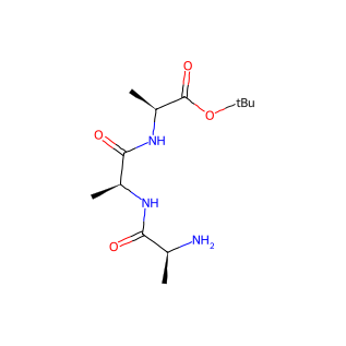 C[C@H](N)C(=O)N[C@@H](C)C(=O)N[C@@H](C)C(=O)OC(C)(C)C